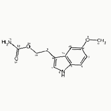 COc1ccc2[nH]cc(CCOC(N)=O)c2c1